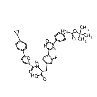 CC(C)(C)OC(=O)Nc1ccc(-c2nc(-c3ccc(CC(NC(=O)c4ccc(-c5ccc(C6CC6)cc5)o4)C(=O)O)cc3F)no2)cc1